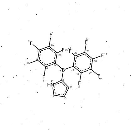 Fc1c(F)c(F)c(B(c2ccc[nH]2)c2c(F)c(F)c(F)c(F)c2F)c(F)c1F